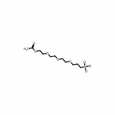 CC(=O)OCCOCCOCCOCCC[Si](Cl)(Cl)Cl